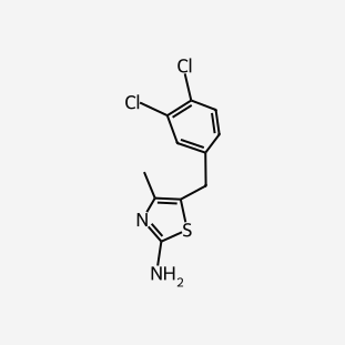 Cc1nc(N)sc1Cc1ccc(Cl)c(Cl)c1